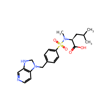 CC(C)C[C@@H](C(=O)O)N(C)S(=O)(=O)c1ccc(CN2CNc3cnccc32)cc1